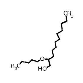 CCCCCCCCCCC(CO)OCCCCC